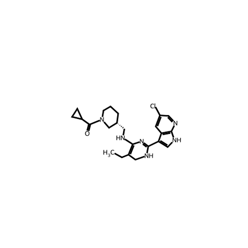 CCC1=C(NC[C@H]2CCCN(C(=O)C3CC3)C2)N=C(c2c[nH]c3ncc(Cl)cc23)NC1